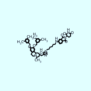 Cc1cc(C)cc(COc2cc3c(cc2OCc2cc(C)cc(C)c2)C2CC(O)(Cc4cn(CCCCCCNc5ccc6c(c5)C(=O)N(C5CCC(=O)NC5=O)C6=O)nn4)CC(C)N2CC3)c1